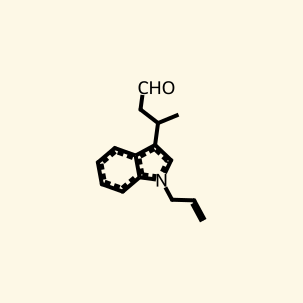 C=CCn1cc(C(C)CC=O)c2ccccc21